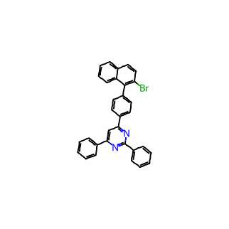 Brc1ccc2ccccc2c1-c1ccc(-c2cc(-c3ccccc3)nc(-c3ccccc3)n2)cc1